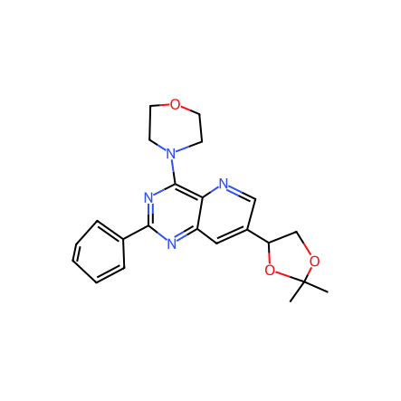 CC1(C)OCC(c2cnc3c(N4CCOCC4)nc(-c4ccccc4)nc3c2)O1